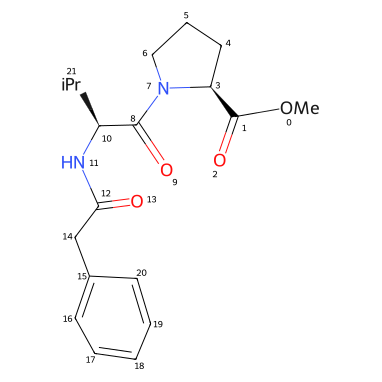 COC(=O)[C@@H]1CCCN1C(=O)[C@@H](NC(=O)Cc1ccccc1)C(C)C